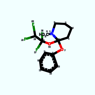 O=C(O)N1CCCCC1(Oc1ccccc1)OC(F)(F)C(F)F